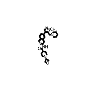 Cn1ncc(-c2ccc3cnc(NC(=O)C4CCN(C5COC5)CC4)cc3c2)c1CN1CCCCC1